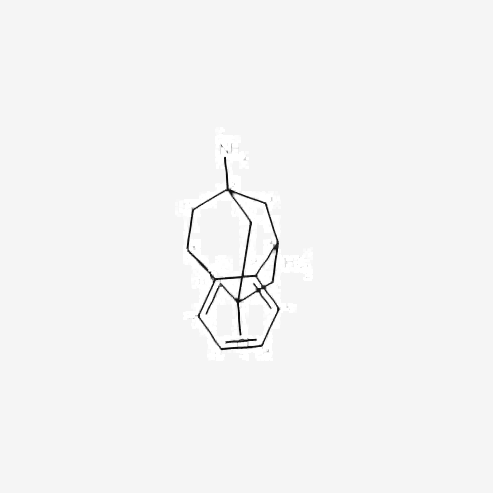 Cl.NC12CC3CC(Cl)(CC(C1)c1ccccc13)C2